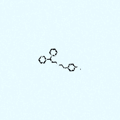 COc1ccc(CCNCC=C(c2ccccc2)c2ccccc2)cc1